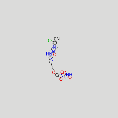 C[C@@H]1CN(c2ccc(C#N)c(Cl)c2)[C@@H](C)CN1C(=O)Nc1ccc(CCCCCCOc2ccc3c(c2)C(=O)N(C2CCC(=O)NC2=O)C3=O)nc1